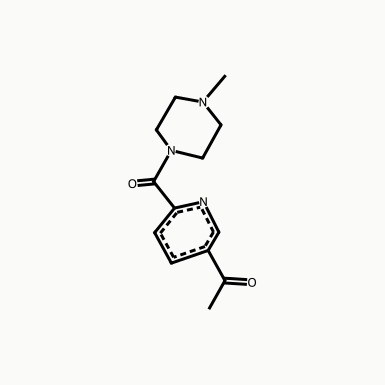 CC(=O)c1ccc(C(=O)N2CCN(C)CC2)nc1